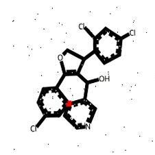 OC(C1=C(c2ccc(Cl)cc2)OCC1c1ccc(Cl)cc1Cl)c1cccnc1